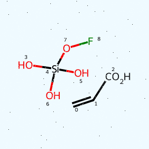 C=CC(=O)O.O[Si](O)(O)OF